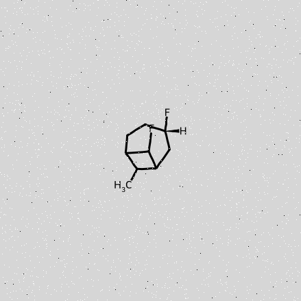 CC1C2CC[C@H](F)CC1C2F